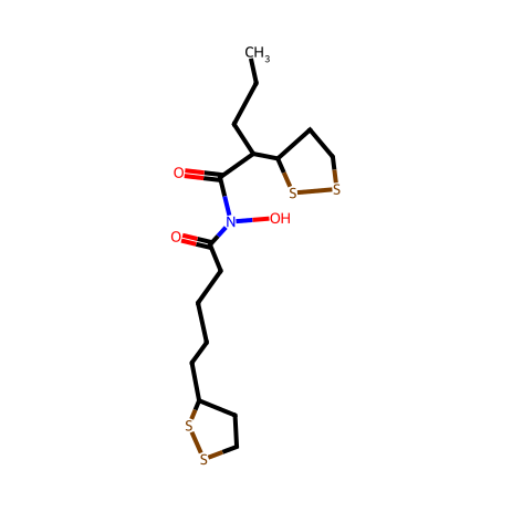 CCCC(C(=O)N(O)C(=O)CCCCC1CCSS1)C1CCSS1